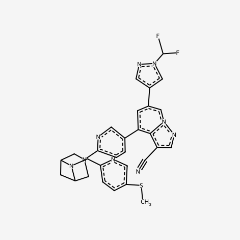 CSc1ccc(CN2C3CC2CN(c2ccc(-c4cc(-c5cnn(C(F)F)c5)cn5ncc(C#N)c45)cn2)C3)nc1